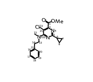 COC(=O)c1nc(C2CC2)nc(N(C)CCc2ccccc2)c1Cl